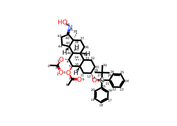 CC(=O)O[C@H]1[C@H](OC(C)=O)[C@H]2C[C@@H](O[Si](c3ccccc3)(c3ccccc3)C(C)(C)C)CC[C@]2(C)[C@H]2CC[C@]3(C)C(=NO)CC[C@H]3[C@H]12